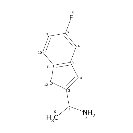 CC(N)c1cc2cc(F)ccc2s1